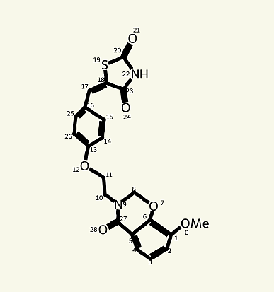 COc1cccc2c1OCN(CCOc1ccc(C=C3SC(=O)NC3=O)cc1)C2=O